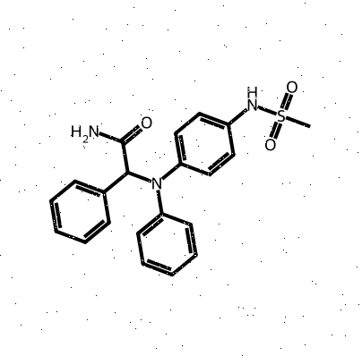 CS(=O)(=O)Nc1ccc(N(c2ccccc2)C(C(N)=O)c2ccccc2)cc1